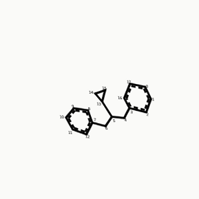 c1ccc(CC(Cc2ccccc2)C2CC2)cc1